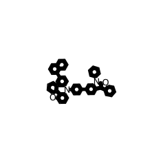 c1ccc(-n2c3cc(-c4ccc(N(c5ccc(-c6cccc7ccccc67)cc5)c5cccc6oc7ccccc7c56)cc4)ccc3c3c4ccccc4oc32)cc1